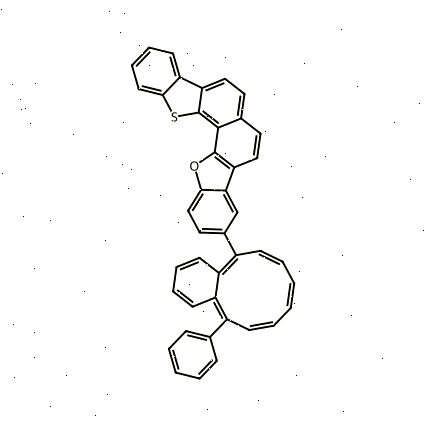 c1ccc(-c2ccccccc(-c3ccc4oc5c(ccc6ccc7c8ccccc8sc7c65)c4c3)c3ccccc23)cc1